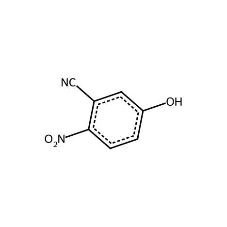 N#Cc1cc(O)ccc1[N+](=O)[O-]